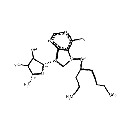 C[C@H]1O[C@@H](N2CN(NC(CCN)CCCN)c3c(N)ncnc32)C(O)C1O